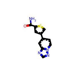 NC(=O)c1cc(-c2ccn3ncnc3c2)cs1